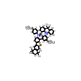 CC(C)(C)c1ccc(N2B3c4cccc5c4N(c4ccccc4C5(C)C)c4cc(C(C)(C)C)cc(c43)-c3c2ccc2c3sc3cc4c(cc32)C(C)(C)CCC4(C)C)cc1